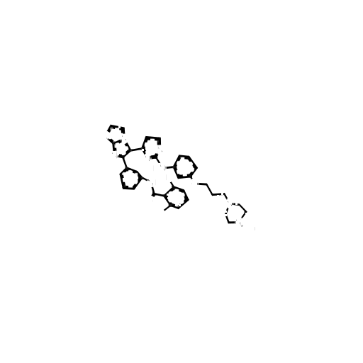 CN1CCN(CCCOc2cccc(Nc3nccc(-c4c(-c5cccc(NC(=O)c6c(F)cccc6F)c5)nc5sccn45)n3)c2)CC1